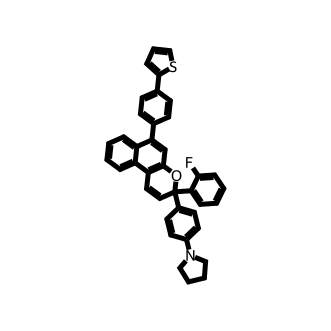 Fc1ccccc1C1(c2ccc(N3CCCC3)cc2)C=Cc2c(cc(-c3ccc(-c4cccs4)cc3)c3ccccc23)O1